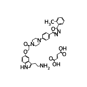 Cc1ccccc1-c1nnc(-c2ccc(N3CCN(C(=O)COc4ccc5[nH]cc(CCN)c5c4)CC3)cc2)o1.O=C(O)C=CC(=O)O